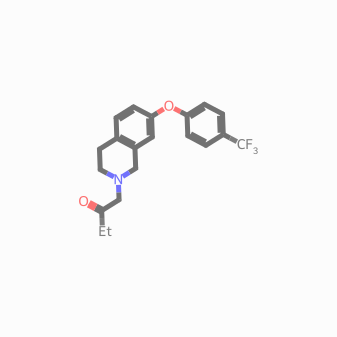 CCC(=O)CN1CCc2ccc(Oc3ccc(C(F)(F)F)cc3)cc2C1